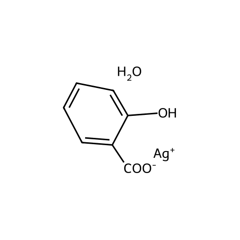 O.O=C([O-])c1ccccc1O.[Ag+]